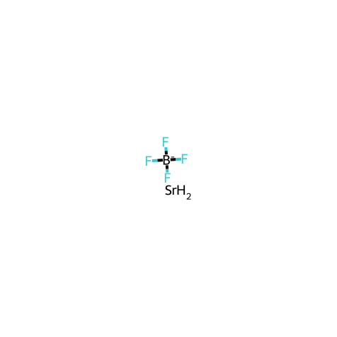 F[B-](F)(F)F.[SrH2]